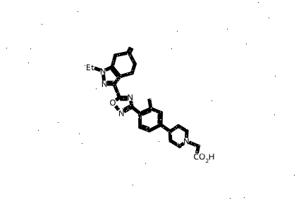 C=C1CCc2c(-c3nc(-c4ccc(C5CCN(CC(=O)O)CC5)cc4C)no3)nn(CC)c2C1